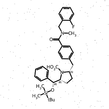 CN(Cc1ccccc1F)C(=O)c1ccc(C[C@@H]2CC[C@H]([C@H](O[Si](C)(C)C(C)(C)C)c3ccccc3)N2C(=O)O)cc1